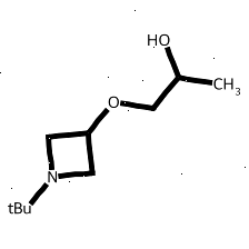 CC(O)COC1CN(C(C)(C)C)C1